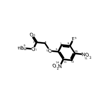 CCCCOC(=O)COc1cc(F)c([N+](=O)[O-])cc1[N+](=O)[O-]